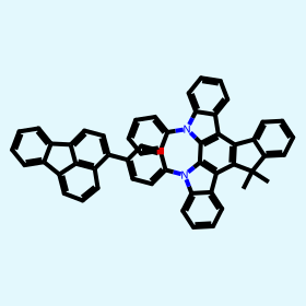 CC1(C)c2ccccc2-c2c1c1c3ccccc3n(-c3ccc(-c4ccc5c6c(cccc46)-c4ccccc4-5)cc3)c1c1c2c2ccccc2n1-c1ccccc1